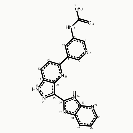 CCCCC(=O)Nc1cncc(-c2ccc3[nH]nc(-c4nc5cccnc5[nH]4)c3n2)c1